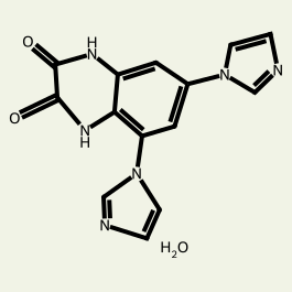 O.O=c1[nH]c2cc(-n3ccnc3)cc(-n3ccnc3)c2[nH]c1=O